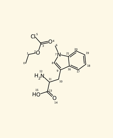 CCOC(=O)Cl.Cn1cc(CC(N)C(=O)O)c2ccccc21